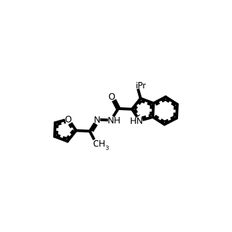 C/C(=N\NC(=O)c1[nH]c2ccccc2c1C(C)C)c1ccco1